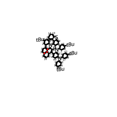 CC(C)(C)c1ccc(N2B3c4ccc5sc6ccccc6c5c4N(c4ccc(C(C)(C)C)cc4-c4ccccc4)c4cc5ccccc5c(c43)-c3ccc(N(c4ccc(C(C)(C)C)cc4)c4ccc(C(C)(C)C)cc4)cc32)cc1